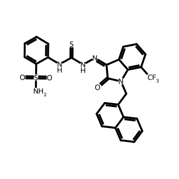 NS(=O)(=O)c1ccccc1NC(=S)NN=C1C(=O)N(Cc2cccc3ccccc23)c2c1cccc2C(F)(F)F